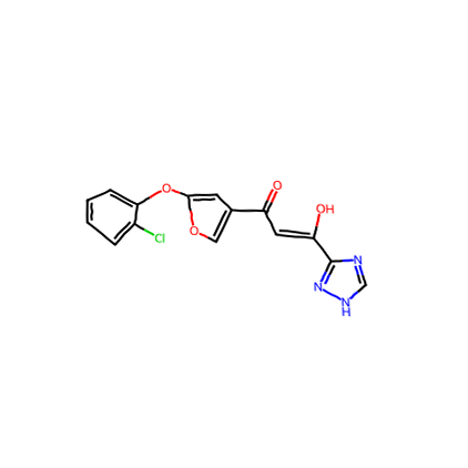 O=C(C=C(O)c1nc[nH]n1)c1coc(Oc2ccccc2Cl)c1